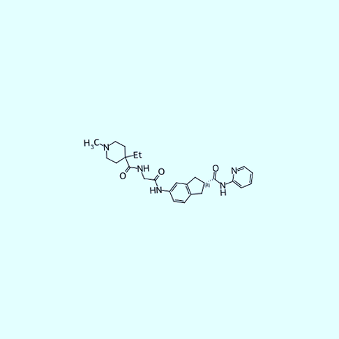 CCC1(C(=O)NCC(=O)Nc2ccc3c(c2)C[C@H](C(=O)Nc2ccccn2)C3)CCN(C)CC1